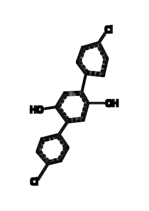 Oc1cc(-c2ccc(Cl)cc2)c(O)cc1-c1ccc(Cl)cc1